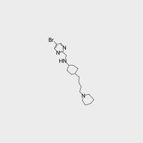 Brc1cnc(CNC2CCC(CCCCN3CCCCC3)CC2)nc1